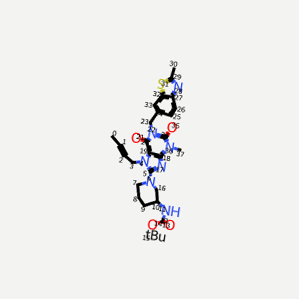 CC#CCn1c(N2CCCC(NC(=O)OC(C)(C)C)C2)nc2c1c(=O)n(Cc1ccc3nc(C)sc3c1)c(=O)n2C